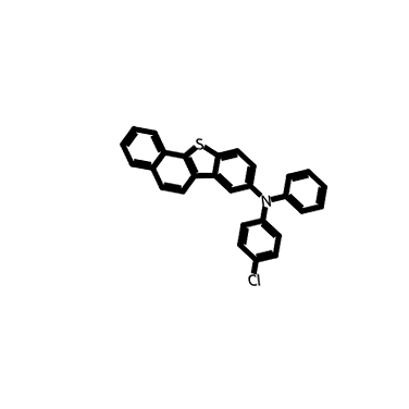 Clc1ccc(N(c2ccccc2)c2ccc3sc4c5ccccc5ccc4c3c2)cc1